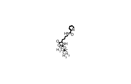 CC(C)(C)OC(=O)NC(CCCCNC(=O)c1ccccn1)C(=O)O